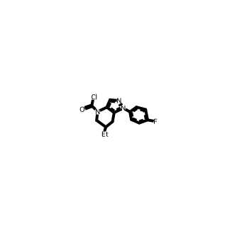 CCC1Cc2c(cnn2-c2ccc(F)cc2)N(C(=O)Cl)C1